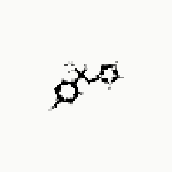 Fc1ccc(C(Cl)(Cn2cncn2)C(F)(F)F)cc1